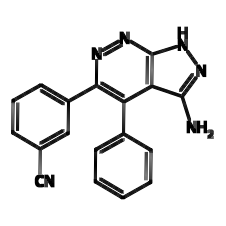 N#Cc1cccc(-c2nnc3[nH]nc(N)c3c2-c2ccccc2)c1